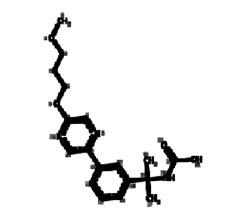 COCCCOc1cnc(-c2cccc(C(C)(C)NC(=O)O)c2)cn1